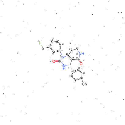 N#Cc1ccc([C@@H]2NC(=O)N(c3cccc(CF)c3)C3=C2C(=O)NCC3)cc1